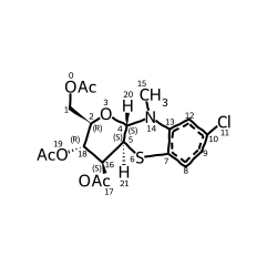 CC(=O)OC[C@H]1O[C@H]2[C@@H](Sc3ccc(Cl)cc3N2C)[C@@H](OC(C)=O)[C@@H]1OC(C)=O